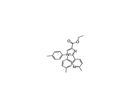 CCOC(=O)C1=C[N+](c2ccc(C)cc2)(c2ccc(C)cc2)C(c2ccc(C)nc2)=N1